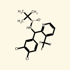 CC(C)(C)[S@+]([O-])NC(c1ccc(Cl)c(Cl)c1)c1ncccc1C(F)(F)F